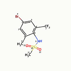 Cc1cc(Br)cc(C(F)(F)F)c1NS(C)(=O)=O